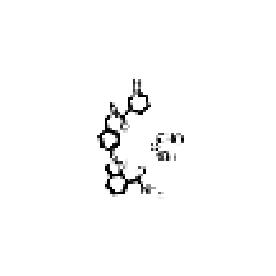 CC(C)(C)OC=O.CN(Cc1ccc(-n2cc3cccc(C(N)=O)c3n2)cc1)C(=O)C1CCCNC1